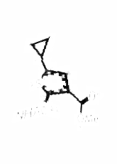 COC(=O)c1cc(C2CC2)sc1NC(C)=O